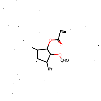 C=CC(=O)OC1C(C)CC(C(C)C)C1OC=O